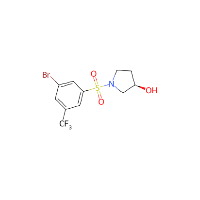 O=S(=O)(c1cc(Br)cc(C(F)(F)F)c1)N1CC[C@@H](O)C1